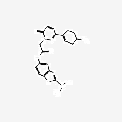 CC1CC=C(c2ccc(=O)n(CC(=O)Nc3ccc4oc(N(C)C)nc4c3)n2)CC1